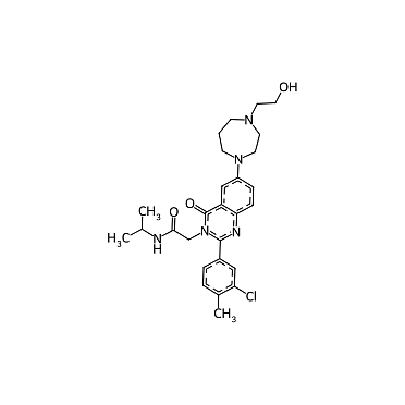 Cc1ccc(-c2nc3ccc(N4CCCN(CCO)CC4)cc3c(=O)n2CC(=O)NC(C)C)cc1Cl